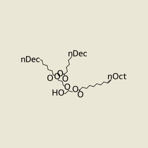 CCCCCCCC/C=C\CCCCCCCC(=O)OCC(CO)OCC(COC(=O)CCCCCCCCCCCCCCC)OC(=O)CCCCCCCCCCCCCCC